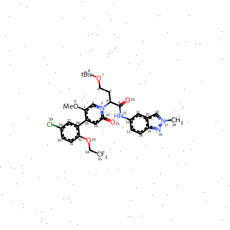 COc1cn(C(CCOC(C)(C)C)C(=O)Nc2ccc3nn(C)cc3c2)c(=O)cc1-c1cc(Cl)ccc1OCC(F)(F)F